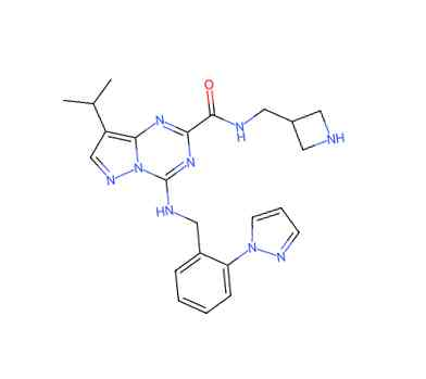 CC(C)c1cnn2c(NCc3ccccc3-n3cccn3)nc(C(=O)NCC3CNC3)nc12